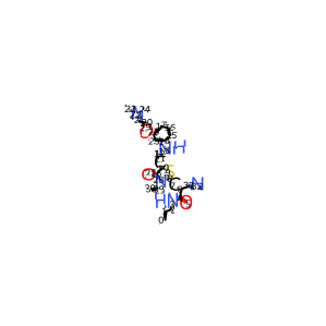 C=CCNC(=O)C(=C=c1sc(=C=CNc2cccc(OCCN(C)C)c2)c(=O)n1CC)C#N